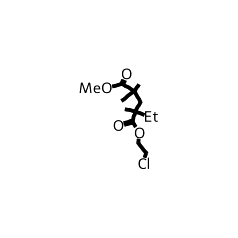 CCC(C)(CC(C)(C)C(=O)OC)C(=O)OCCCl